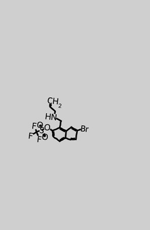 C=CCNCc1c(OS(=O)(=O)C(F)(F)F)ccc2ccc(Br)cc12